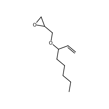 C=CC(CCCCC)OCC1CO1